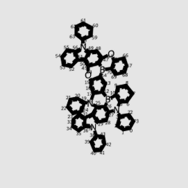 c1ccc(N2c3ccccc3B3c4cc5c(cc4N(c4ccccc4)c4c3c2cc2c4c3ccccc3n2-c2ccccc2)Oc2c3c(cc4c2c2ccccc2n4-c2ccccc2)Oc2ccccc2B53)cc1